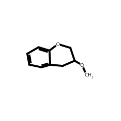 COC1COc2ccccc2C1